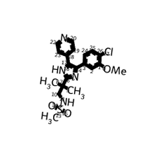 COc1cc(-c2nc(C(C)(C)CNS(C)(=O)=O)[nH]c2-c2ccncc2)ccc1Cl